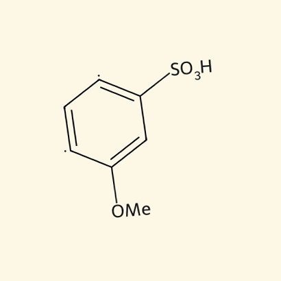 COc1[c]c[c]c(S(=O)(=O)O)c1